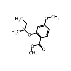 CC[C@H](C)Oc1cc(OC)ccc1C(=O)OC